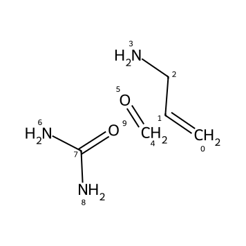 C=CCN.C=O.NC(N)=O